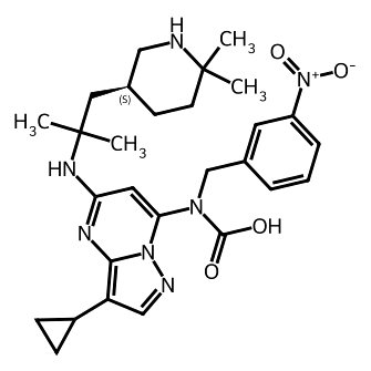 CC1(C)CC[C@@H](CC(C)(C)Nc2cc(N(Cc3cccc([N+](=O)[O-])c3)C(=O)O)n3ncc(C4CC4)c3n2)CN1